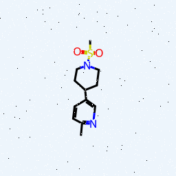 Cc1ccc(C2CCN(S(C)(=O)=O)CC2)cn1